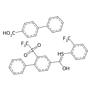 O=C(O)c1ccc(-c2ccccc2)cc1.O=S(=O)(c1cc(C(O)=[SH]c2ccccc2C(F)(F)F)ccc1-c1ccccc1)C(F)(F)F